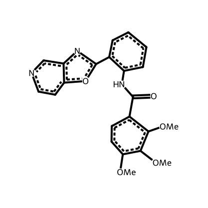 COc1ccc(C(=O)Nc2ccccc2-c2nc3cnccc3o2)c(OC)c1OC